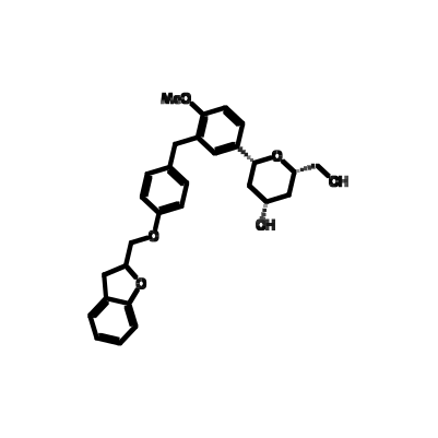 COc1ccc([C@H]2C[C@@H](O)C[C@@H](CO)O2)cc1Cc1ccc(OCC2Cc3ccccc3O2)cc1